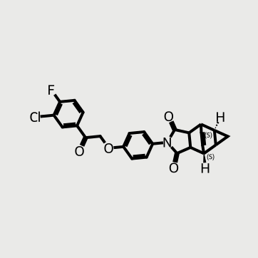 O=C(COc1ccc(N2C(=O)C3C(C2=O)[C@@H]2C=CC3[C@H]3CC23)cc1)c1ccc(F)c(Cl)c1